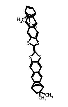 CC1(C)CC2C=CC1c1cc3cc4c(cc3cc12)S/C(=C1/Sc2cc3c(cc2S1)=CC1C(C=3)C2C=CC1C(C)(C)C2)S4